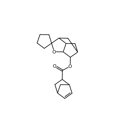 O=C(OC1C2CC3C1OC1(CCCC1)C3C2)C1CC2C=CC1C2